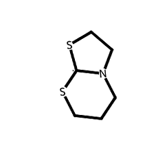 C1CS[C]2SCCN2C1